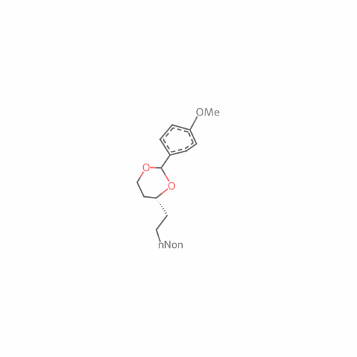 CCCCCCCCCCC[C@@H]1CCOC(c2ccc(OC)cc2)O1